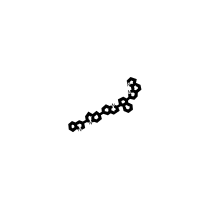 c1ccc2ncc(-c3ccc4cc(-c5ccc6nc(-c7ccc(-c8ccc9ccc%10cccnc%10c9n8)c8ccccc78)ccc6c5)ccc4n3)cc2c1